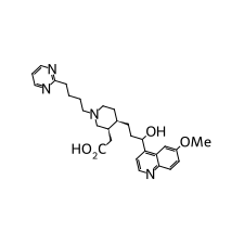 COc1ccc2nccc(C(O)CC[C@@H]3CCN(CCCCc4ncccn4)C[C@@H]3CC(=O)O)c2c1